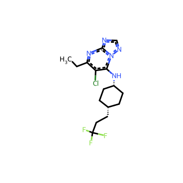 CCc1nc2ncnn2c(N[C@H]2CC[C@@H](CCC(F)(F)F)CC2)c1Cl